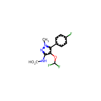 Cn1nc(NC(=O)O)c(OC(F)F)c1-c1ccc(F)cc1